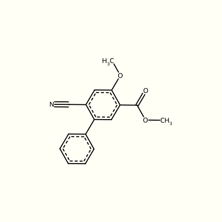 COC(=O)c1cc(-c2ccccc2)c(C#N)cc1OC